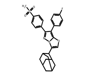 CS(=O)(=O)c1ccc(-c2nn3c(C4C5CC6CC(C5)CC4C6)coc3c2-c2ccc(F)cc2)cc1